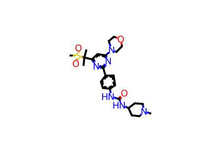 CN1CCC(NC(=O)Nc2ccc(-c3nc(N4CCOCC4)cc(C(C)(C)S(C)(=O)=O)n3)cc2)CC1